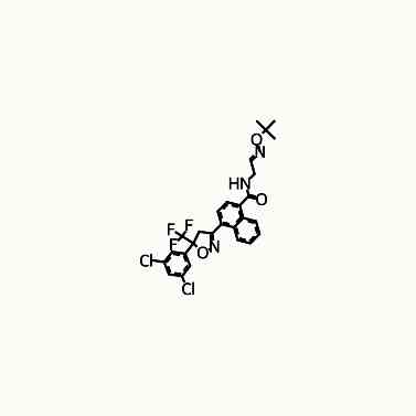 CC(C)(C)ON=CCNC(=O)c1ccc(C2=NOC(c3cc(Cl)cc(Cl)c3)(C(F)(F)F)C2)c2ccccc12